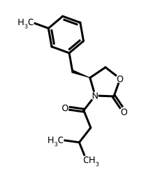 Cc1cccc(C[C@H]2COC(=O)N2C(=O)CC(C)C)c1